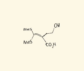 CSC(SC)=C(CCC#N)C(=O)O